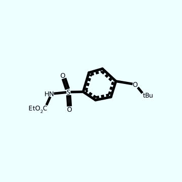 CCOC(=O)NS(=O)(=O)c1ccc(OC(C)(C)C)cc1